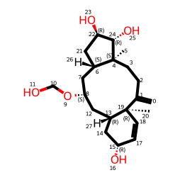 C=C1CC[C@@]2(C)[C@H](C[C@@H](OCO)C[C@H]3C[C@@H](O)C=C[C@]13C)C[C@@H](O)[C@@H]2O